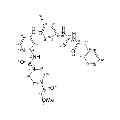 COCC(=O)N1CCN(C(=O)Nc2cc(Oc3ccc(NC(=S)NC(=O)Cc4ccccc4)cc3F)ccn2)CC1